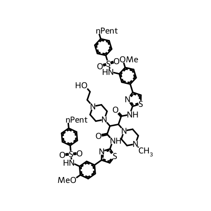 CCCCCc1ccc(S(=O)(=O)Nc2cc(-c3csc(NC(=O)C(C(C(=O)Nc4nc(-c5ccc(OC)c(NS(=O)(=O)c6ccc(CCCCC)cc6)c5)cs4)N4CCN(CCO)CC4)N4CCN(C)CC4)n3)ccc2OC)cc1